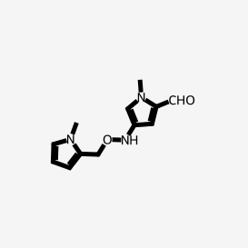 Cn1cc(NOCc2cccn2C)cc1C=O